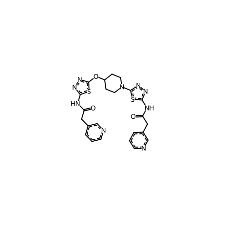 O=C(Cc1cccnc1)Nc1nnc(OC2CCN(c3nnc(NC(=O)Cc4cccnc4)s3)CC2)s1